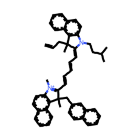 C=CCC1(C)\C(=C/C=C/C=C/C2=[N+](C)c3ccc4ccccc4c3C2(C)Cc2ccc3ccccc3c2)N(CCC(C)C)c2ccc3ccccc3c21